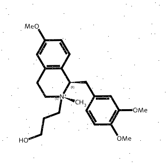 COc1ccc2c(c1)CC[N@@+](C)(CCCO)[C@@H]2Cc1ccc(OC)c(OC)c1